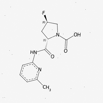 Cc1cccc(NC(=O)[C@@H]2C[C@@H](F)CN2C(=O)O)n1